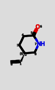 C=C[C@@H]1CCC(=O)NC1